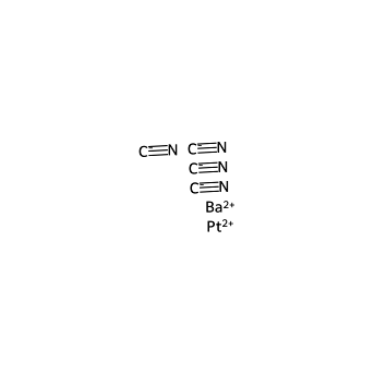 [Ba+2].[C-]#N.[C-]#N.[C-]#N.[C-]#N.[Pt+2]